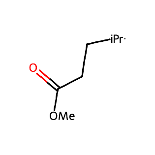 COC(=O)CC[C](C)C